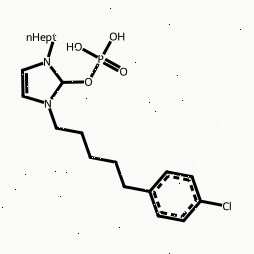 CCCCCCCN1C=CN(CCCCCc2ccc(Cl)cc2)C1OP(=O)(O)O